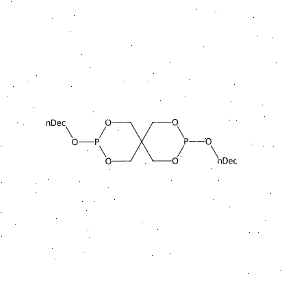 CCCCCCCCCCOP1OCC2(CO1)COP(OCCCCCCCCCC)OC2